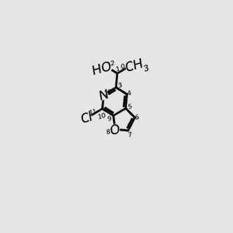 CC(O)c1cc2ccoc2c(Cl)n1